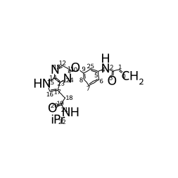 C=CC(=O)Nc1cccc(Oc2cnc3[nH]cc(CC(=O)NC(C)C)c3n2)c1